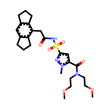 COCCN(CCOC)C(=O)c1cc(S(=O)(=O)NC(=O)Cc2c3c(cc4c2CCC4)CCC3)nn1C